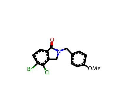 COc1ccc(CN2Cc3c(ccc(Br)c3Cl)C2=O)cc1